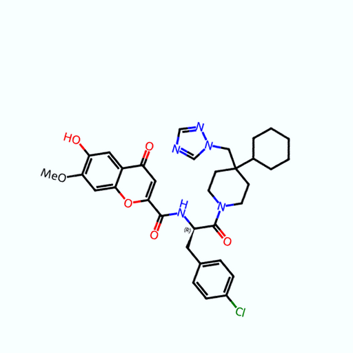 COc1cc2oc(C(=O)N[C@H](Cc3ccc(Cl)cc3)C(=O)N3CCC(Cn4cncn4)(C4CCCCC4)CC3)cc(=O)c2cc1O